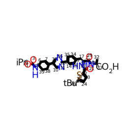 CC(C)OC(=O)NC1CC=C(c2cnc(-c3ccc(C[C@H](NC(=O)c4ccc(C(C)(C)C)s4)C(=O)N[C@H](C)C(=O)O)cc3)nc2)CC1